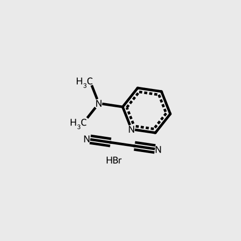 Br.CN(C)c1ccccn1.N#CC#N